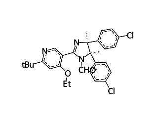 CCOc1cc(C(C)(C)C)ncc1C1=N[C@@](C)(c2ccc(Cl)cc2)[C@@](C)(c2ccc(Cl)cc2)N1[C]=O